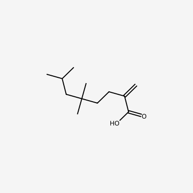 C=C(CCC(C)(C)CC(C)C)C(=O)O